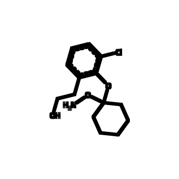 NOC1(Oc2c(Cl)cccc2CCO)CCCCC1